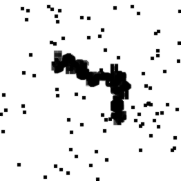 COc1cc(-c2nccc(OCCC(=O)N[C@H](C(=O)N3CCC[C@H]3C(=O)NCc3ccc(-c4scnc4C)cc3)C(C)(C)C)n2)ccc1NC(=O)c1cccc(-c2ccn[nH]2)n1